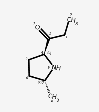 CCC(=O)[C@@H]1CC[C@@H](C)N1